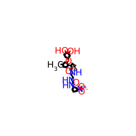 Cc1ccc(-c2ccsc2[S+]([O-])NCCNC(=O)Nc2cccc([N+](=O)[O-])c2)c(Oc2ccc(O)c(O)c2)c1